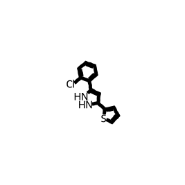 Clc1ccccc1C1=CC(c2cccs2)NN1